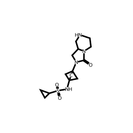 O=C1N2CCNCC2CN1C12CC(NS(=O)(=O)C3CC3)(C1)C2